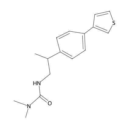 CC(CNC(=O)N(C)C)c1ccc(-c2ccsc2)cc1